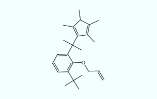 C=CCOc1c(C(C)(C)C)cccc1C(C)(C)C1=C(C)C(C)C(C)=C1C